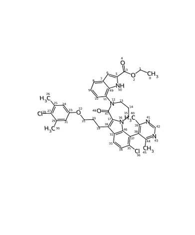 CCOC(=O)c1cc2cccc(N3CCCn4c(c(CCCOc5cc(C)c(Cl)c(C)c5)c5ccc(Cl)c(-c6c(C)ncnc6C)c54)C3=O)c2[nH]1